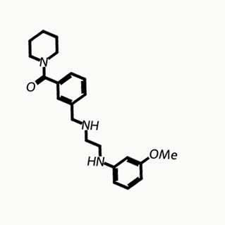 COc1cccc(NCCNCc2cccc(C(=O)N3CCCCC3)c2)c1